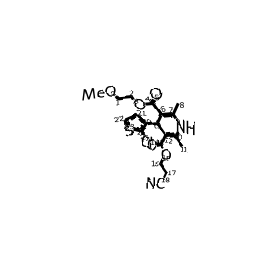 COCCOC(=O)C1=C(C)NC(C)=C(C(=O)OCCC#N)C1c1ccsc1Cl